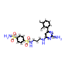 Cc1cccc(-c2cc(NCCCNS(=O)(=O)c3ccc(S(N)(=O)=O)cc3)nc(N)n2)c1C